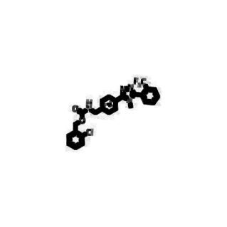 Cn1c(-c2ccccc2C(F)(F)F)nnc1C12CCC(CNC(=O)OCc3ccccc3Cl)(CC1)CC2